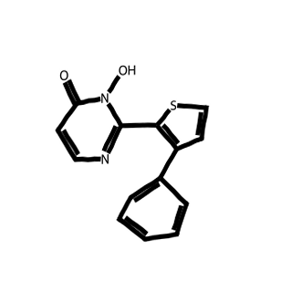 O=c1ccnc(-c2sccc2-c2ccccc2)n1O